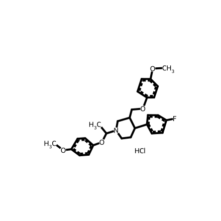 COc1ccc(OCC2CN(C(C)Oc3ccc(OC)cc3)CCC2c2ccc(F)cc2)cc1.Cl